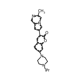 Cc1cn2cc(-c3cc4ccc(N5CCN(C(C)C)CC5)cc4oc3=O)cc2cn1